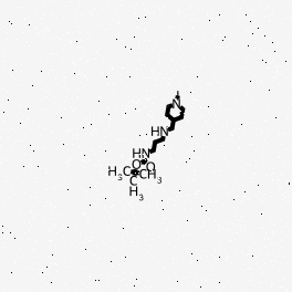 CC(C)(C)OC(=O)NCCCNCC1CCN(I)CC1